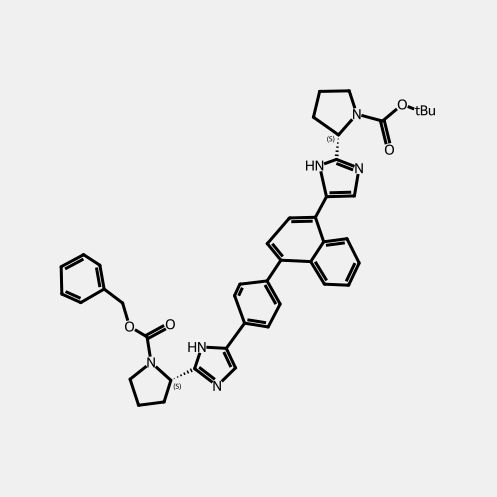 CC(C)(C)OC(=O)N1CCC[C@H]1c1ncc(-c2ccc(-c3ccc(-c4cnc([C@@H]5CCCN5C(=O)OCc5ccccc5)[nH]4)cc3)c3ccccc23)[nH]1